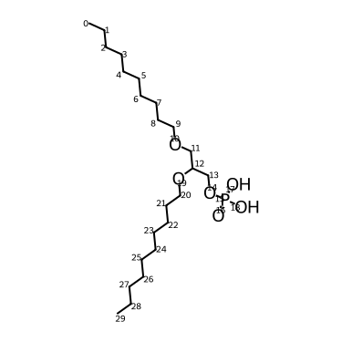 CCCCCCCCCCOCC(COP(=O)(O)O)OCCCCCCCCCC